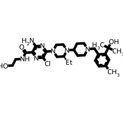 CC[C@H]1CN(c2nc(N)c(C(=O)NCCO)nc2Cl)CCN1C1CCN(Cc2ccc(C)cc2C(C)(C)O)CC1